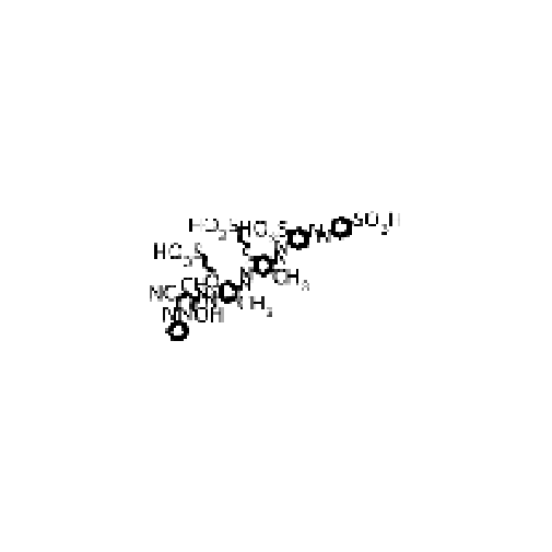 Cc1cc(N=Nc2c(C)c(C#N)c3nc4ccccc4n3c2O)c(OCCCS(=O)(=O)O)cc1N=Nc1cc(C)c(N=Nc2ccc(N=Nc3ccc(S(=O)(=O)O)cc3)cc2S(=O)(=O)O)cc1SCCCS(=O)(=O)O